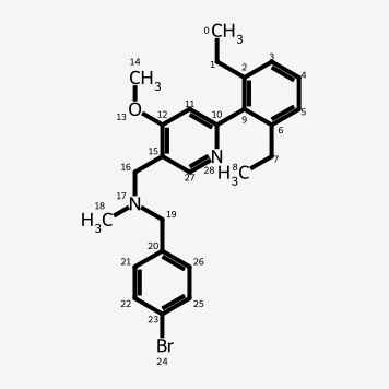 CCc1cccc(CC)c1-c1cc(OC)c(CN(C)Cc2ccc(Br)cc2)cn1